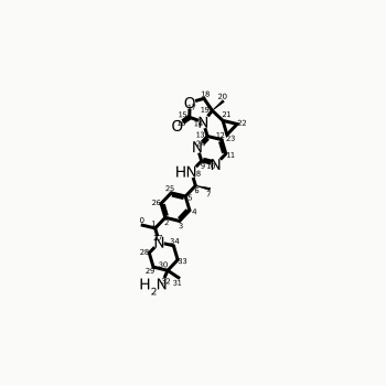 CC(c1ccc([C@H](C)Nc2nccc(N3C(=O)OC[C@]3(C)C3CC3)n2)cc1)N1CCC(C)(N)CC1